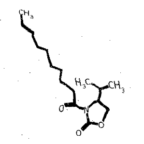 CCCCCCCCCC(=O)N1C(=O)OCC1C(C)C